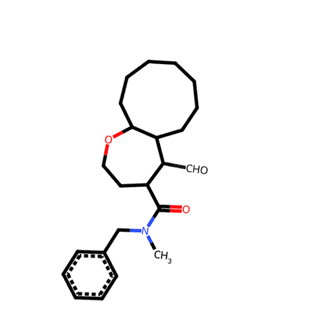 CN(Cc1ccccc1)C(=O)C1CCOC2CCCCCCCC2C1C=O